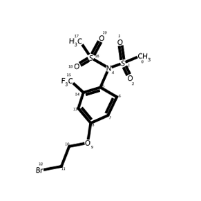 CS(=O)(=O)N(c1ccc(OCCBr)cc1C(F)(F)F)S(C)(=O)=O